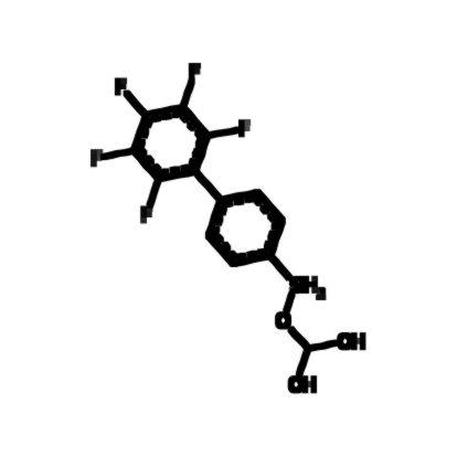 OC(O)O[SiH2]c1ccc(-c2c(F)c(F)c(F)c(F)c2F)cc1